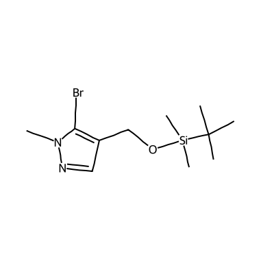 Cn1ncc(CO[Si](C)(C)C(C)(C)C)c1Br